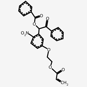 C=CC(=O)OCCOc1ccc([N+](=O)[O-])c(C(OC(=O)c2ccccc2)C(=O)c2ccccc2)c1